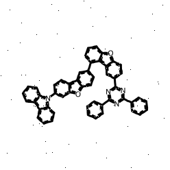 c1ccc(-c2nc(-c3ccccc3)nc(-c3ccc4oc5cccc(-c6ccc7oc8cc(-n9c%10ccccc%10c%10ccccc%109)ccc8c7c6)c5c4c3)n2)cc1